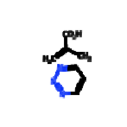 C=C(C)C(=O)O.c1cnnnc1